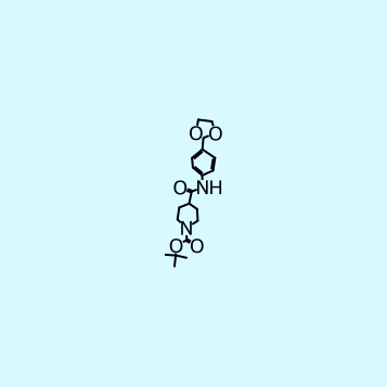 CC(C)(C)OC(=O)N1CCC(C(=O)Nc2ccc(C3OCCO3)cc2)CC1